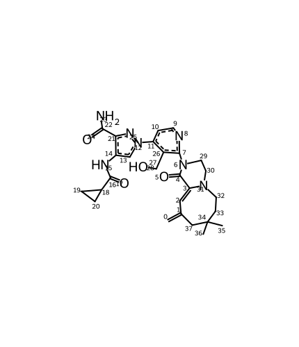 C=C1/C=C2/C(=O)N(c3nccc(-n4cc(NC(=O)C5CC5)c(C(N)=O)n4)c3CO)CCN2CCC(C)(C)C1